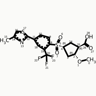 CO[C@@H]1C[C@H](S(=O)(=O)c2ccc(-c3nc(C)cs3)cc2C(F)(F)F)C[C@H]1C(=O)O